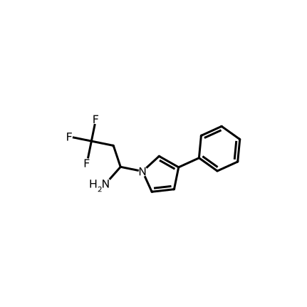 NC(CC(F)(F)F)n1ccc(-c2ccccc2)c1